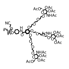 CC(=O)N[C@H]1[C@H](OCCOCCOCCOc2cc(C(=O)N[C@H]3CC[C@@H](OP(OCCC#N)N(C(C)C)C(C)C)CC3)cc(OCCOCCOCCO[C@@H]3O[C@H](COC(C)=O)[C@H](OC(C)=O)[C@H](OC(C)=O)[C@H]3NC(C)=O)c2OCCOCCOCCO[C@@H]2O[C@H](COC(C)=O)[C@H](OC(C)=O)[C@H](OC(C)=O)[C@H]2NC(C)=O)O[C@H](COC(C)=O)[C@H](OC(C)=O)[C@@H]1OC(C)=O